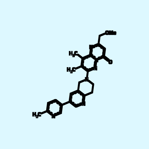 COCc1cc(=O)n2nc(N3CCc4ncc(-c5ccc(C)nc5)cc4C3)c(C)c(C)c2n1